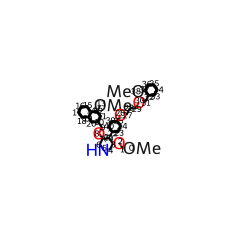 COCOC1CNCC(OCc2cc(OC)c3ccccc3c2)[C@H]1c1ccc(OCCCOCc2ccccc2OC)cc1